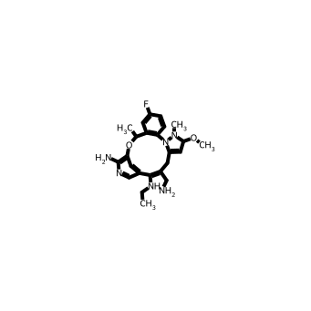 CCN/C1=C(\CN)CC2=CC(OC)N(C)N2c2ccc(F)cc2C(C)Oc2cc1cnc2N